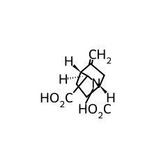 C=C1C[C@@H]2CC[C@H]1[C@H](C(=O)O)N2C(=O)O